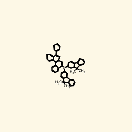 CC1(C)c2ccccc2-c2cc(N(C3=CC=C4c5ccccc5C(C)(C)C4C3)c3cc4cc(-c5ccccc5)c5ccccc5c4c4ccccc34)ccc21